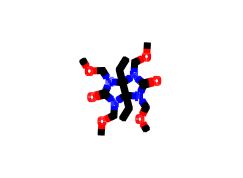 CCC12N(COC)C(=O)N(COC)C1(CC)N(COC)C(=O)N2COC